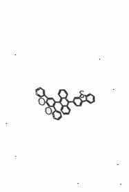 c1ccc2c(c1)oc1c2cc(-c2c3ccccc3c(-c3ccc4c(c3)sc3ccccc34)c3ccccc23)c2c3ccccc3oc12